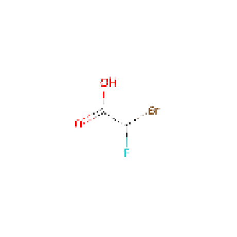 O=C(O)C(F)Br